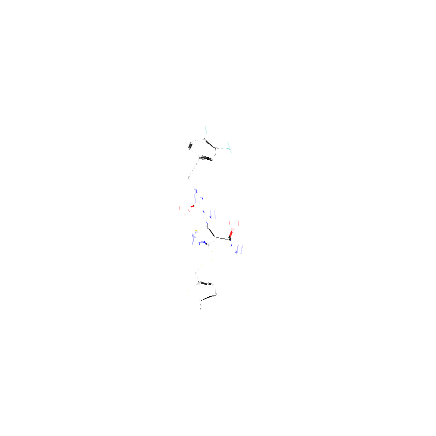 Cc1ccc(CSc2nsc(NC(=O)NCc3ccc(F)c(F)c3)c2C(N)=O)s1